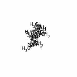 CCC(=O)OC1CC[C@]23C[C@]24CC[C@]2(C)C5C(OC([C@H](OC(C)=O)C(C)(C)O)C[C@H]5C)[C@H](OC(=O)CC)[C@@]2(C)[C@@H]4CC[C@H]3C1(C)C